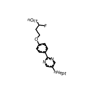 CCCCCCCCC(F)CCOc1ccc(-c2ncc(CCCCCCC)cn2)cc1